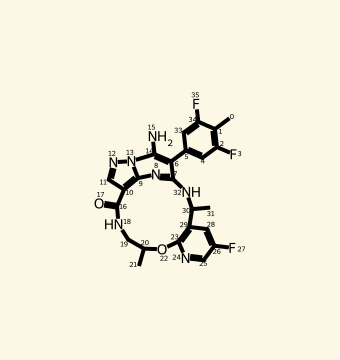 Cc1c(F)cc(-c2c3nc4c(cnn4c2N)C(=O)NCC(C)Oc2ncc(F)cc2C(C)N3)cc1F